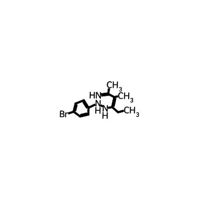 CCC(NNc1ccc(Br)cc1)=C(C)C(C)=N